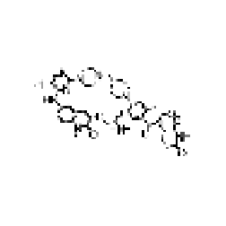 CNC(=O)COc1cc2cc(Nc3nc(N4CCN(CC5CCN(c6ccc(C(=O)N(C=O)C7CCC(=O)NC7=O)c(C)c6)CC5)CC4)ncc3Cl)ccc2n(C)c1=O